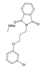 CCc1cccc(OCCCN2C(=O)c3ccccc3C2=O)c1.CNC